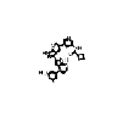 O=C(Nc1cncc(-c2cnc3[nH]nc(-c4cc5c(-c6cc(O)cc(F)c6)ccnc5[nH]4)c3c2)c1)C1CCC1